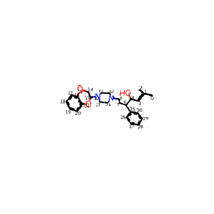 CC(C)=CC(O)C(CCN1CCN(C2COc3ccccc3O2)CC1)c1ccccc1